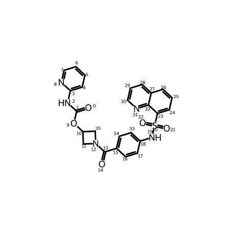 O=C(Nc1ccccn1)OC1CN(C(=O)c2ccc(NS(=O)(=O)c3cccc4cccnc34)cc2)C1